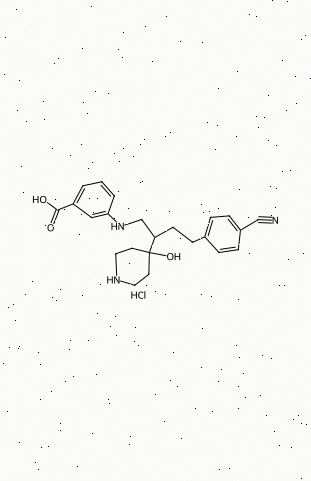 Cl.N#Cc1ccc(CCC(CNc2cccc(C(=O)O)c2)C2(O)CCNCC2)cc1